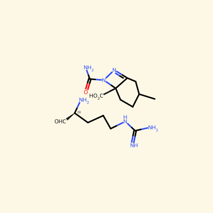 CC1CCC2(C(=O)O)C(=NN2C(N)=O)C1.N=C(N)NCCC[C@H](N)C=O